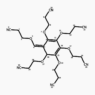 N#CCCOC=C1C(OCCC#N)=C(OCCC#N)C(OCCC#N)=C(OCCC#N)C1OCCC#N